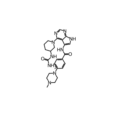 CN1CCN(c2ccc(C(=O)Nc3c[nH]c4ncnc(N5CCCC(NC(N)=O)C5)c34)cc2)CC1